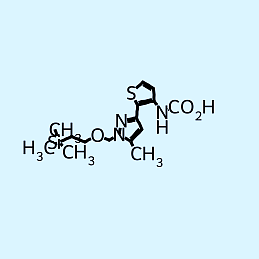 Cc1cc(-c2sccc2NC(=O)O)nn1COCC[Si](C)(C)C